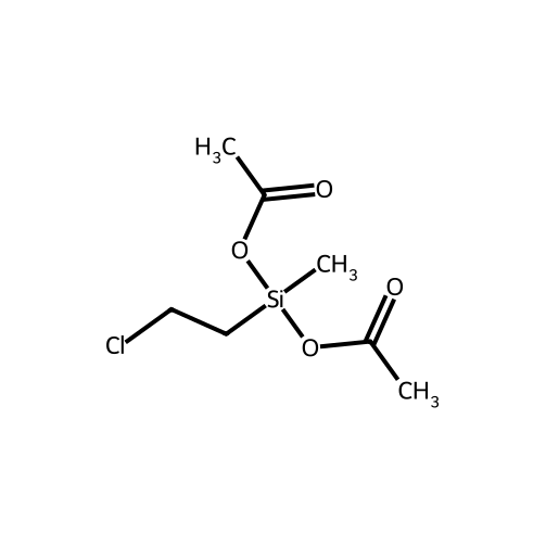 CC(=O)O[Si](C)(CCCl)OC(C)=O